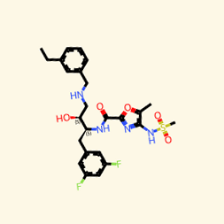 CCc1cccc(CNC[C@H](O)[C@H](Cc2cc(F)cc(F)c2)NC(=O)c2nc(NS(C)(=O)=O)c(C)o2)c1